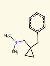 CN(C)CC1(Cc2ccccc2)CC1